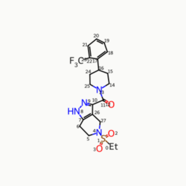 CCS(=O)(=O)N1CCc2[nH]nc(C(=O)N3CCC(c4ccccc4C(F)(F)F)CC3)c2C1